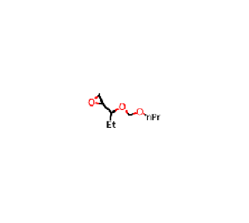 CCCOCOC(CC)C1CO1